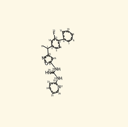 CC(c1ccc(-c2ccccc2)c(F)c1)c1cc(NC(=N)Nc2ccccn2)on1